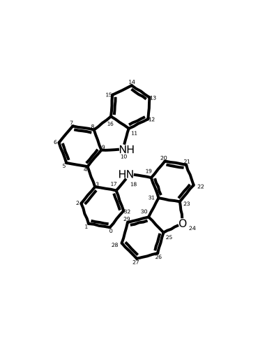 c1ccc(-c2cccc3c2[nH]c2ccccc23)c(Nc2cccc3oc4ccccc4c23)c1